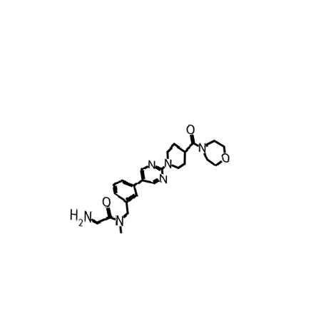 CN(Cc1cccc(-c2cnc(N3CCC(C(=O)N4CCOCC4)CC3)nc2)c1)C(=O)CN